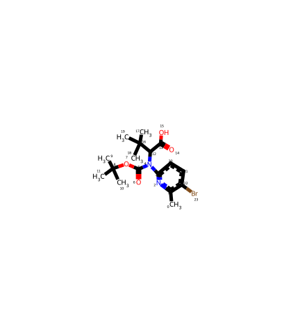 Cc1nc(N(C(=O)OC(C)(C)C)C(C(=O)O)C(C)(C)C)ccc1Br